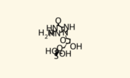 NC1NC(=O)C2NCN([C@H]3C[C@H](O)[C@@H](COP(O)(O)=S)O3)C2N1